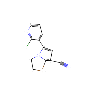 N#Cc1cc(-c2cccnc2Cl)n2c1SCC2